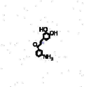 Nc1cccc(C(=O)/C=C/c2ccc(O)c(O)c2)c1